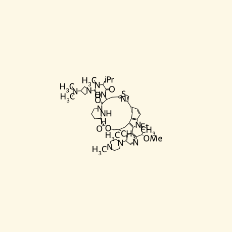 CCn1c(-c2cc(N3CCN(C)CC3)cnc2[C@H](C)OC)c2c3cc(ccc31)-c1csc(n1)C[C@H](NC(=O)[C@H](C(C)C)N(C)C(=O)N1CC(N(C)C)C1)C(=O)N1CCC[C@H](N1)C(=O)OCC(C)(C)C2